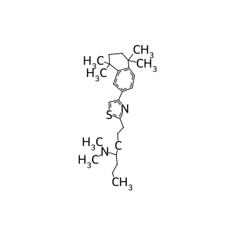 CCCC(CCCc1nc(-c2ccc3c(c2)C(C)(C)CCC3(C)C)cs1)N(C)C